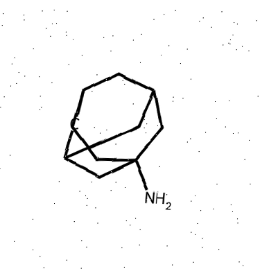 NC12CCC3CC(CC(C3)C1)C2